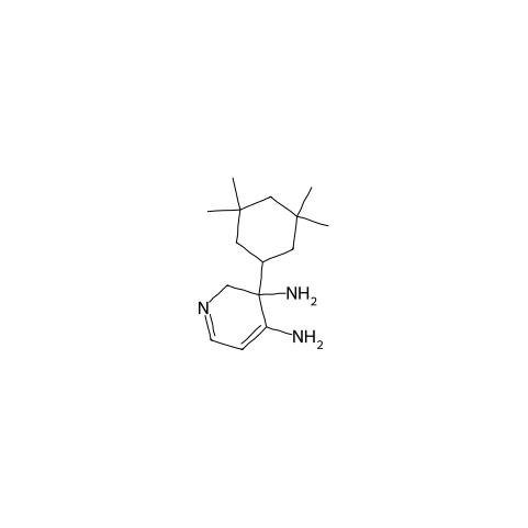 CC1(C)CC(C2(N)CN=CC=C2N)CC(C)(C)C1